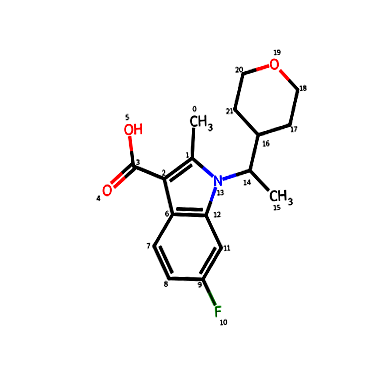 Cc1c(C(=O)O)c2ccc(F)cc2n1C(C)C1CCOCC1